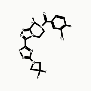 [2H]c1cc(C(=O)N2CCn3c(-c4nc(N5CC(F)(F)C5)ns4)nnc3[C@H]2C)ccc1F